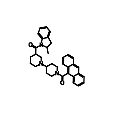 CC1Cc2ccccc2N1C(=O)C1CCCN(C2CCN(C(=O)c3c4ccccc4cc4ccccc34)CC2)C1